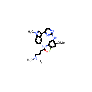 COc1cc(F)c(NC(=O)/C=C/CN(C)C)cc1Nc1nccc(-c2cn(C)c3ccccc23)n1